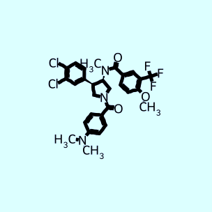 COc1ccc(C(=O)N(C)[C@@H]2CN(C(=O)c3ccc(N(C)C)cc3)C[C@H]2c2ccc(Cl)c(Cl)c2)cc1C(F)(F)F